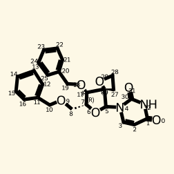 O=c1ccn(C2O[C@H](COCc3ccccc3)[C@@H](OCc3ccccc3)[C@@]23CCO3)c(=O)[nH]1